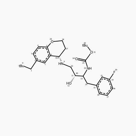 CC(C)(C)Cc1ccc2c(c1)[C@@H](NC[C@@H](O)C(Cc1cccc(F)c1)NC(=O)OC(C)(C)C)CCO2